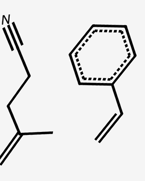 C=C(C)CCC#N.C=Cc1ccccc1